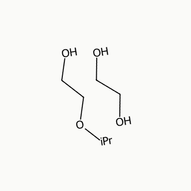 OCCO.[CH2]C(C)OCCO